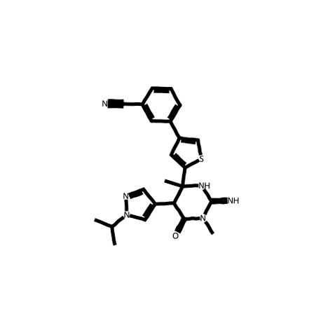 CC(C)n1cc(C2C(=O)N(C)C(=N)NC2(C)c2cc(-c3cccc(C#N)c3)cs2)cn1